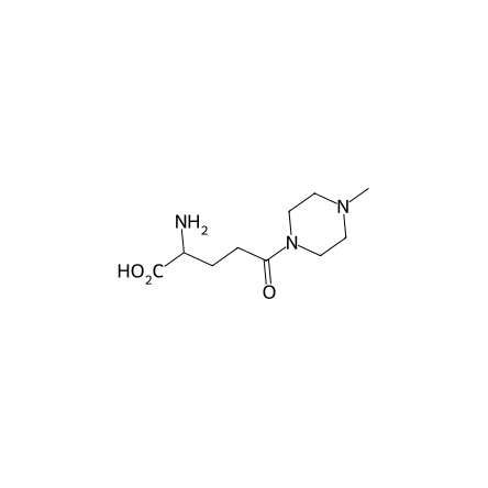 CN1CCN(C(=O)CCC(N)C(=O)O)CC1